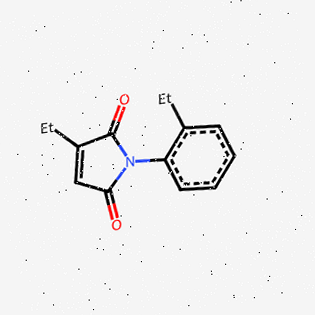 CCC1=CC(=O)N(c2ccccc2CC)C1=O